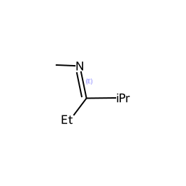 CC/C(=N\C)C(C)C